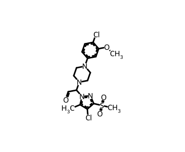 COc1cc(N2CCN(C(C=O)n3nc(S(C)(=O)=O)c(Cl)c3C)CC2)ccc1Cl